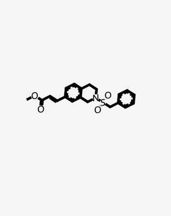 COC(=O)/C=C/c1ccc2c(c1)CN(S(=O)(=O)Cc1ccccc1)CC2